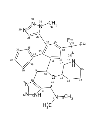 CN(C)Cc1[nH]nnc1CC(OC1CCCNC1)c1cc(C(F)(F)F)cc(-c2cnnn2C)c1-c1ccccc1